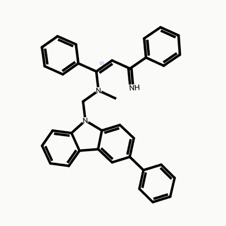 CN(Cn1c2ccccc2c2cc(-c3ccccc3)ccc21)/C(=C\C(=N)c1ccccc1)c1ccccc1